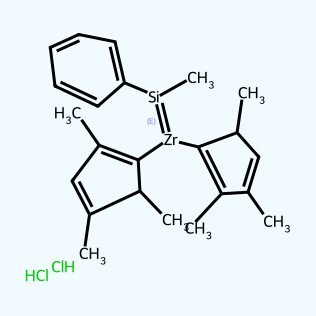 CC1=CC(C)[C](/[Zr]([C]2=C(C)C=C(C)C2C)=[Si](\C)c2ccccc2)=C1C.Cl.Cl